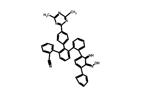 Cc1nc(C)nc(-c2ccc(-c3c(-c4ccccc4C#N)cccc3-c3ccccc3C3=CC=C(c4ccccc4)/C(=N/O)C3=N)cc2)n1